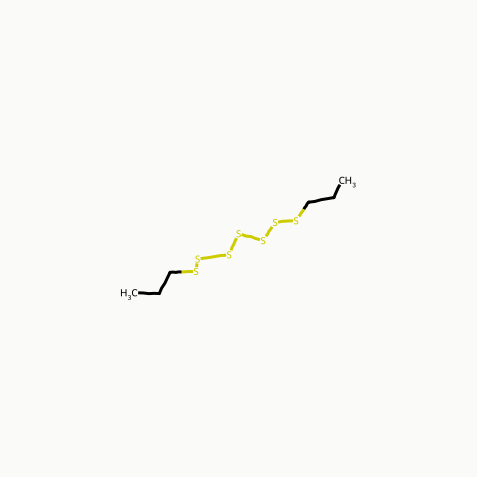 CCCSSSSSSSCCC